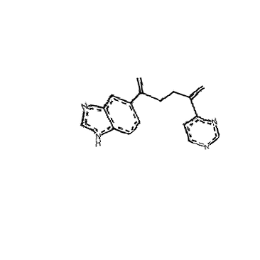 C=C(CCC(=C)c1ccncn1)c1ccc2[nH]cnc2c1